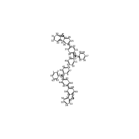 c1ccc(N(c2ccc(-c3ccc(N(c4ccccc4)c4ccc(-c5ccc6sc7ccccc7c6c5)cc4)cc3)cc2)c2ccc(-c3ccc4sc5ccccc5c4c3)cc2)cc1